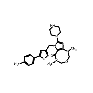 Cc1ccc(-c2cc(Cn3c(N4CCNCC4)nc4c3C(=O)N(C)COCN4C)no2)cc1